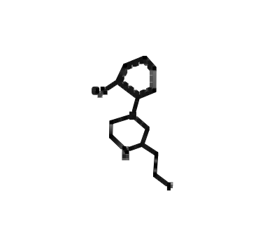 O=[N+]([O-])c1ccccc1N1CCNC(CCF)C1